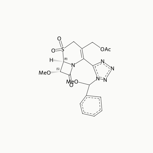 COC(c1ccccc1)n1nnnc1C1=C(COC(C)=O)CS(=O)(=O)[C@@H]2[C@@H](OC)C(=O)N12